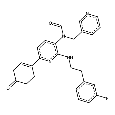 O=CN(Cc1cccnc1)c1ccc(C2=CCC(=O)CC2)nc1NCCc1cccc(F)c1